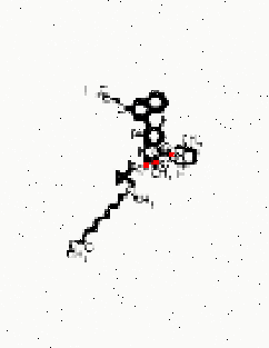 COCOc1cc(-c2c(F)cc3c(N4C[C@H]5CC[C@@](C)(C4)N5C(=O)OC(C)(C)C)nc(OCC4(CN(C)CCCCCCCC(=O)OC)CC4)nc3c2F)c2ccccc2c1